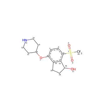 O=S(=O)(c1ccc(OC2CCNCC2)c2c1C(O)CC2)C(F)(F)F